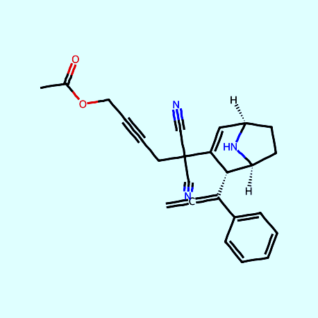 C=C=C(c1ccccc1)[C@@H]1C(C(C#N)(C#N)CC#CCOC(C)=O)=C[C@H]2CC[C@@H]1N2